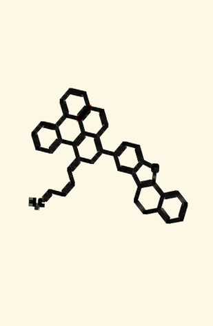 C=C/C=C\C=C1/CC(c2ccc3oc4c(c3c2)CCc2ccccc2-4)=c2ccccc2=C1c1ccccc1-c1ccccc1